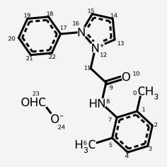 Cc1cccc(C)c1NC(=O)C[n+]1cccn1-c1ccccc1.O=C[O-]